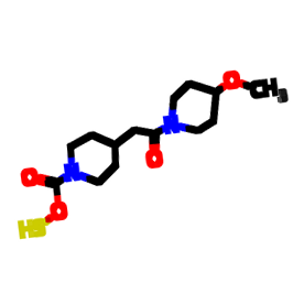 COC1CCN(C(=O)CC2CCN(C(=O)OS)CC2)CC1